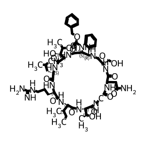 CC[C@H](C)[C@@H]1NC(=O)[C@@H](CCCNC(=N)N)NC(=O)[C@H](CC(C)C)NC(=O)[C@H]([C@H](O)C(C)C)NC(=O)[C@@H](NC(=O)OCc2ccccc2)[C@@H](c2ccccc2)NC(=O)[C@H](CO)NC(=O)C(CC(N)=O)NC(=O)CNC(=O)[C@H]([C@H](C)O)NC1=O